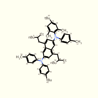 CCCCC(CC)Cc1cc(N(c2ccc(C)cc2)c2c(C)cc(C(C)(C)C)cc2C)cc2c(CC(CC)CCCC)cc(N(c3ccc(C)cc3)c3ccc(C(C)(C)C)cc3)cc12